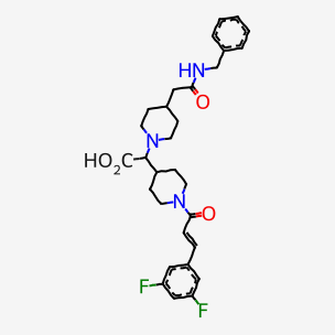 O=C(CC1CCN(C(C(=O)O)C2CCN(C(=O)C=Cc3cc(F)cc(F)c3)CC2)CC1)NCc1ccccc1